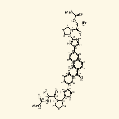 CNC(=O)O[C@@H](C(=O)N1CCC[C@@H]1c1ncc(-c2ccc3c(ccc4c(=O)c5cc(-c6cnc(C7CCCN7C(=O)C(NC(=O)OC)C(C)C)[nH]6)ccc5oc43)c2)[nH]1)C(C)C